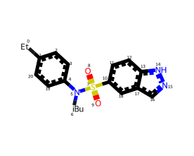 CCc1ccc(N(C(C)CC)S(=O)(=O)c2ccc3[nH]ncc3c2)cc1